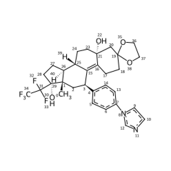 C[C@]12C[C@H](c3ccc(-n4ccnc4)cc3)C3=C4CCC5(C[C@]4(O)CC[C@H]3[C@@H]1CC[C@]2(O)C(F)(F)C(F)(F)F)OCCO5